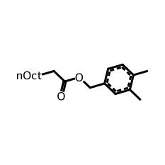 CCCCCCCCCC(=O)OCc1ccc(C)c(C)c1